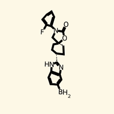 Bc1ccc2[nH]c([C@H]3CC[C@]4(CC3)CN(c3ccccc3F)C(=O)O4)nc2c1